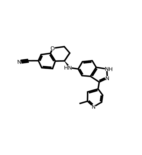 Cc1cc(-c2n[nH]c3ccc(N[C@@H]4CCOc5cc(C#N)ccc54)cc23)ccn1